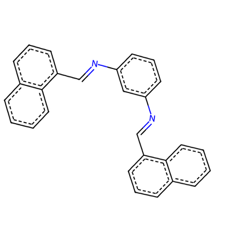 C(=Nc1cccc(N=Cc2cccc3ccccc23)c1)c1cccc2ccccc12